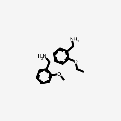 CCOc1ccccc1CN.COc1ccccc1CN